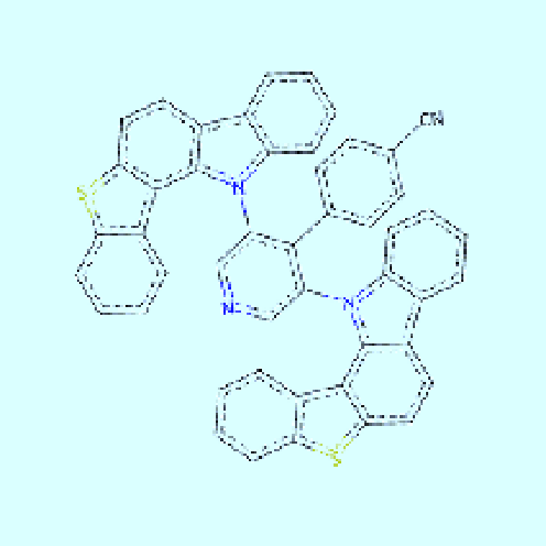 N#Cc1ccc(-c2c(-n3c4ccccc4c4ccc5sc6ccccc6c5c43)cncc2-n2c3ccccc3c3ccc4sc5ccccc5c4c32)cc1